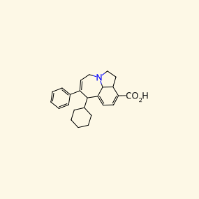 O=C(O)C1=CC=C2C(C3CCCCC3)C(c3ccccc3)=CCN3CCC1C23